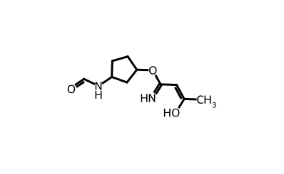 C/C(O)=C/C(=N)OC1CCC(NC=O)C1